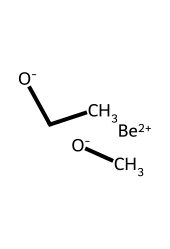 CC[O-].C[O-].[Be+2]